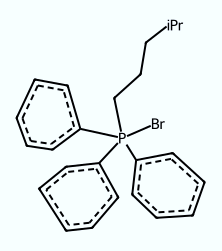 CC(C)CCCP(Br)(c1ccccc1)(c1ccccc1)c1ccccc1